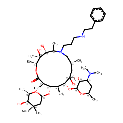 CC[C@H]1OC(=O)[C@H](C)[C@@H](O[C@H]2C[C@@](C)(OC)[C@@H](O)[C@H](C)O2)[C@H](C)[C@@H](O[C@@H]2O[C@H](C)C[C@H](N(C)C)[C@H]2O)[C@](C)(O)C[C@@H](C)CN(CCCNCCc2ccccc2)[C@H](C)[C@@H](O)[C@]1(C)O